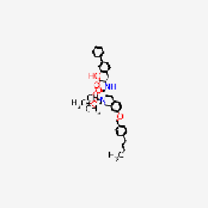 CCCCc1ccc(COc2ccc3c(c2)CN(C(=O)OC(C)(C)C)[C@H](C(=O)N[C@@H](Cc2ccc(-c4ccccc4)cc2)C(=O)O)C3)cc1